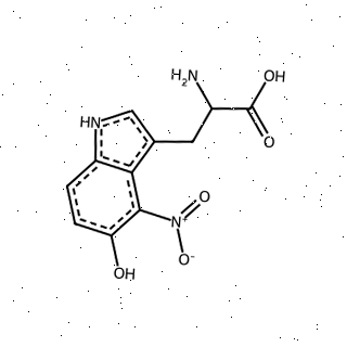 NC(Cc1c[nH]c2ccc(O)c([N+](=O)[O-])c12)C(=O)O